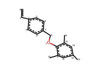 C=Cc1ccc(COc2c(C)cc(C)cc2C)cc1